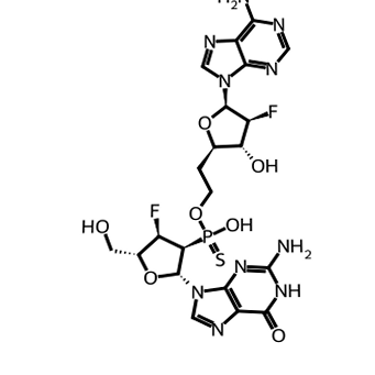 Nc1nc2c(ncn2[C@@H]2O[C@H](CO)[C@@H](F)[C@H]2P(O)(=S)OCC[C@H]2O[C@@H](n3cnc4c(N)ncnc43)[C@@H](F)[C@@H]2O)c(=O)[nH]1